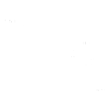 CCCCCCCCCCCCCCC(=O)O[C@@H](CO)COC(=O)CCCCCCCCCCCCNC(C)=O